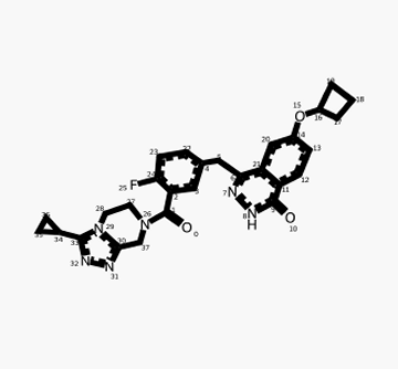 O=C(c1cc(Cc2n[nH]c(=O)c3ccc(OC4CCC4)cc23)ccc1F)N1CCn2c(nnc2C2CC2)C1